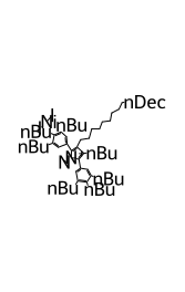 CCCCCCCCCCCCCCCCCCCC1=C(c2cc(CCCC)c(CCCC)c(CCCC)c2)[N+](=[N-])C(c2cc(CCCC)c(CCCC)c(CCCC)c2)=C1CCCC.[I][Ni][I]